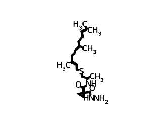 CC(C)=CCC/C(C)=C/CC/C(C)=C/CSCC(C)NC(=O)C1(C(=O)NN)CC1